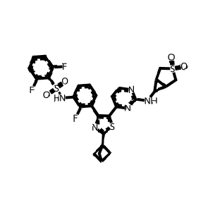 O=S1(=O)CC2C(C1)C2Nc1nccc(-c2sc(C34CC(C3)C4)nc2-c2cccc(NS(=O)(=O)c3c(F)cccc3F)c2F)n1